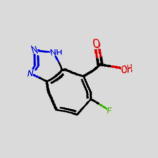 O=C(O)c1c(F)ccc2nn[nH]c12